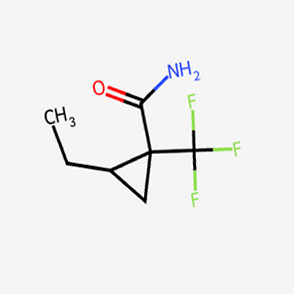 CCC1CC1(C(N)=O)C(F)(F)F